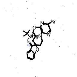 CC(C)(C)[S+]([O-])/N=C1/c2ccccc2OC12CCN1c3ncc(Br)nc3OC[C@H]1C2